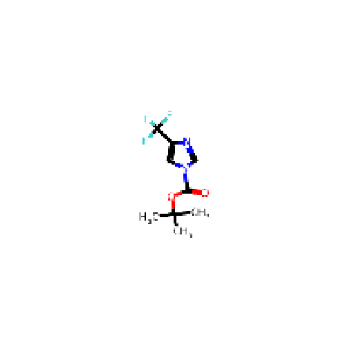 CC(C)(C)OC(=O)n1cnc(C(F)(F)F)c1